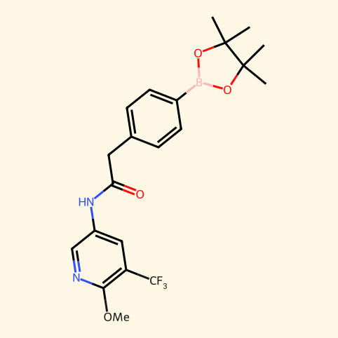 COc1ncc(NC(=O)Cc2ccc(B3OC(C)(C)C(C)(C)O3)cc2)cc1C(F)(F)F